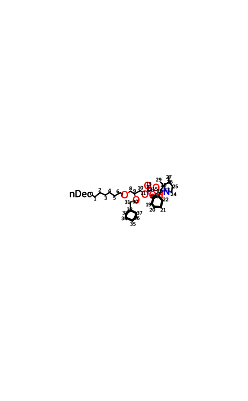 CCCCCCCCCCCCCCCCOCC(COP(=O)(O)OC1(c2ccccc2)N2CCC(C)C21C)OCc1ccccc1